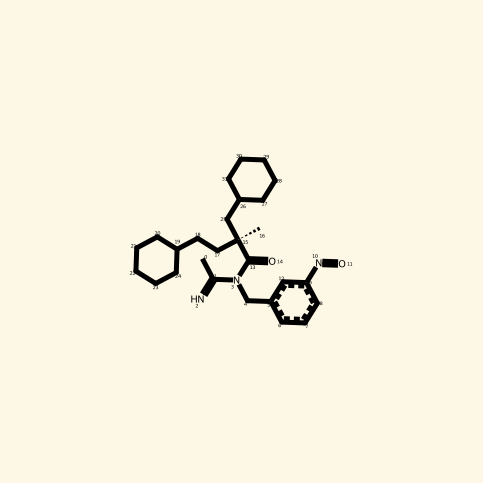 CC(=N)N(Cc1cccc(N=O)c1)C(=O)[C@@](C)(CCC1CCCCC1)CC1CCCCC1